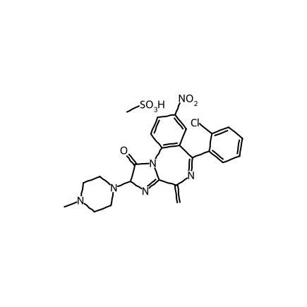 C=C1N=C(c2ccccc2Cl)c2cc([N+](=O)[O-])ccc2N2C(=O)C(N3CCN(C)CC3)N=C12.CS(=O)(=O)O